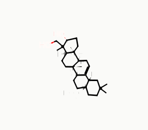 CC1(C)CC[C@]2(C(=O)O)CC[C@]3(C)C(=CC[C@@H]4[C@@]5(C)CC[C@H](O)C(C)(CO)[C@@H]5CC[C@]43C)[C@@H]2C1